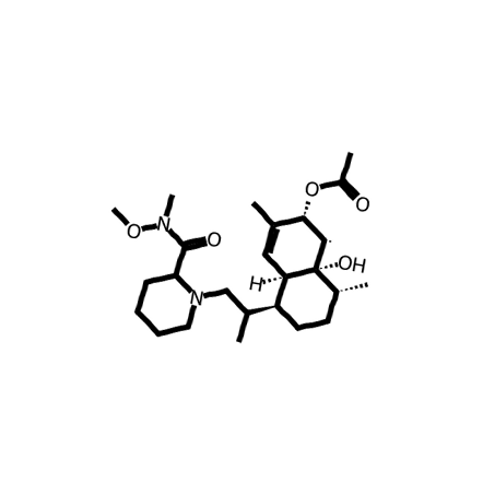 CON(C)C(=O)C1CCCCN1CC(C)[C@@H]1CC[C@@H](C)[C@]2(O)[CH][C@@H](OC(C)=O)C(C)=C[C@H]12